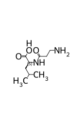 CC(C)C[C@H](NC(=O)CCN)C(=O)O